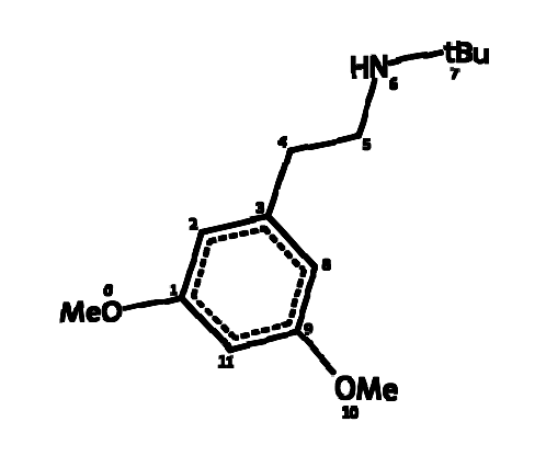 COc1cc(CCNC(C)(C)C)cc(OC)c1